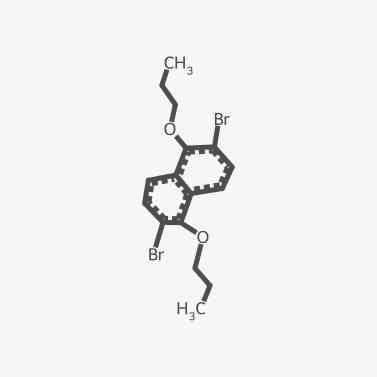 CCCOc1c(Br)ccc2c(OCCC)c(Br)ccc12